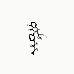 CC(N)c1nc2cccc(Cl)c2c(=O)n1-c1cccc(NC(=O)NC2CC2)c1